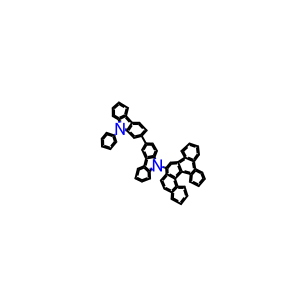 c1ccc(-n2c3ccccc3c3ccc(-c4ccc5c(c4)c4ccccc4n5-c4cc5c6ccccc6c6ccccc6c5c5c4ccc4ccccc45)cc32)cc1